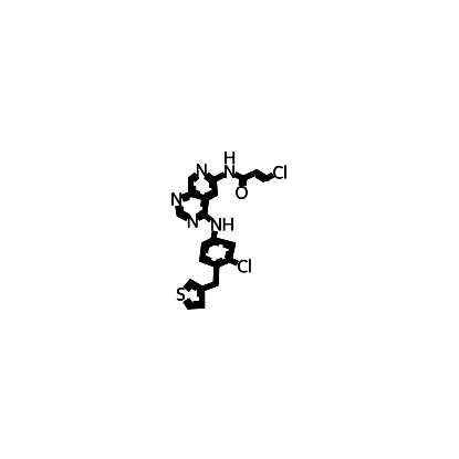 O=C(C=CCl)Nc1cc2c(Nc3ccc(Cc4ccsc4)c(Cl)c3)ncnc2cn1